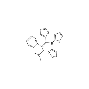 CP(C)C/C(=C(\B(c1cccs1)c1cccs1)c1cccs1)c1ccccc1